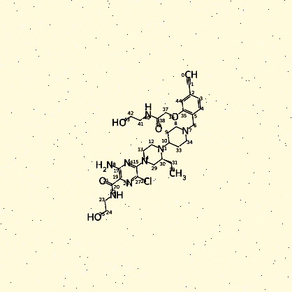 C#Cc1ccc(CN2CCC(N3CCN(c4nc(N)c(C(=O)NCCO)nc4Cl)C[C@@H]3CC)CC2)c(OCC(=O)NCCO)c1